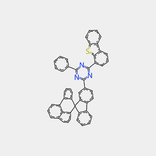 c1ccc(-c2nc(-c3ccc4c(c3)C3(c5ccccc5-4)c4ccccc4-c4cccc5cccc3c45)nc(-c3cccc4c3sc3ccccc34)n2)cc1